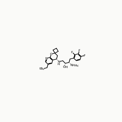 CC(=O)N[C@@H](Cc1ccc(F)c(F)c1F)[C@H](O)CN[C@H]1CC2(CCC2)Oc2ncc(CC(C)(C)C)cc21